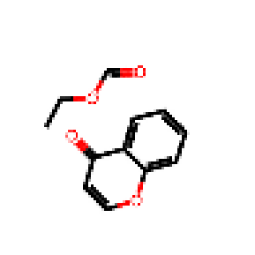 CCOC=O.O=c1ccoc2ccccc12